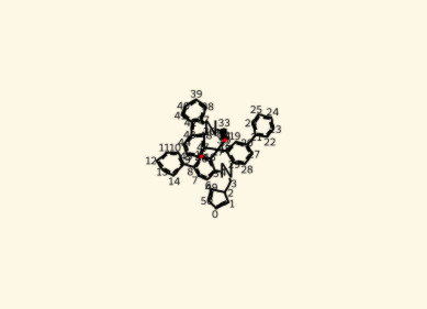 C1=CC(CN2c3ccc(-c4ccccc4)cc3C3(c4cc(-c5ccccc5)ccc42)c2ccccc2-n2c4ccccc4c4cccc3c42)C=C1